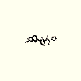 O=C(Nc1ncc(-c2ccc3cnc(Cl)cc3c2)s1)[C@@H]1CCOC1